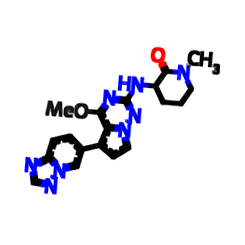 COc1nc(NC2CCCN(C)C2=O)nn2ccc(-c3ccc4ncnn4c3)c12